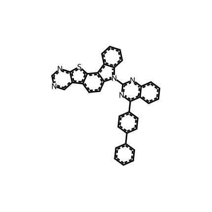 c1ccc(-c2ccc(-c3nc(-n4c5ccccc5c5c6sc7ncncc7c6ccc54)nc4ccccc34)cc2)cc1